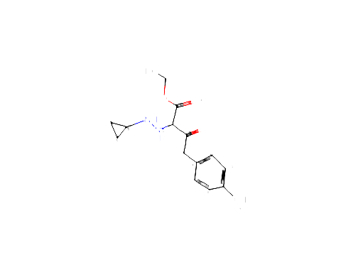 CCOC(=O)C(NNC1CC1)C(=O)Cc1ccc(C)cc1